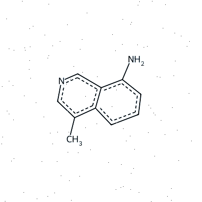 Cc1cncc2c(N)cccc12